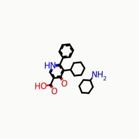 NC1CCCCC1.O=C(O)c1c[nH]c(-c2ccccc2)c(C2CCCCC2)c1=O